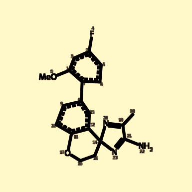 COc1cc(F)ccc1-c1ccc2c(c1)C1(CCO2)N=C(C)C(N)=N1